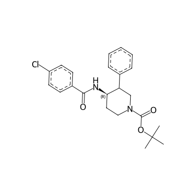 CC(C)(C)OC(=O)N1CC[C@@H](NC(=O)c2ccc(Cl)cc2)C(c2ccccc2)C1